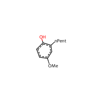 CCCCCc1cc(OC)ccc1O